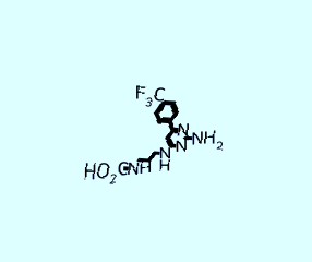 Nc1nc(NCCCNC(=O)O)cc(-c2ccc(C(F)(F)F)cc2)n1